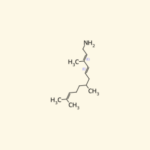 CC(C)=CCCC(C)C/C=C/C(C)=C/CN